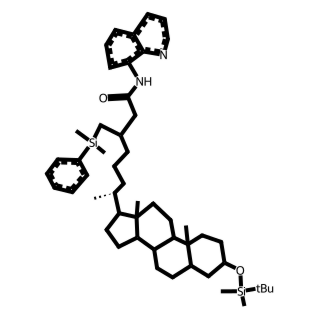 C[C@H](CCCC(CC(=O)Nc1cccc2cccnc12)C[Si](C)(C)c1ccccc1)C1CCC2C3CCC4CC(O[Si](C)(C)C(C)(C)C)CCC4(C)C3CCC21C